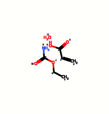 C=CC(=O)O.CCOC(N)=O.O